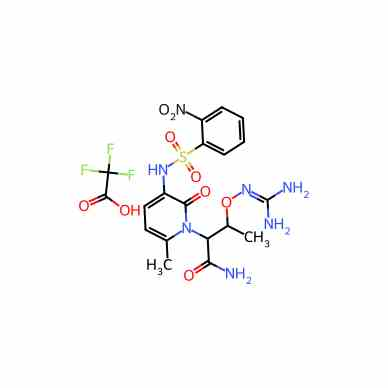 Cc1ccc(NS(=O)(=O)c2ccccc2[N+](=O)[O-])c(=O)n1C(C(N)=O)C(C)ON=C(N)N.O=C(O)C(F)(F)F